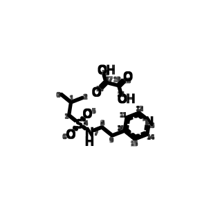 CC(C)CS(=O)(=O)NCCc1ccncc1.O=C(O)C(=O)O